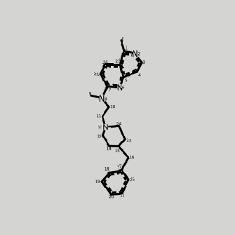 Cc1nccc2nc(N(C)CCN3CCC(Cc4ccccc4)CC3)ccc12